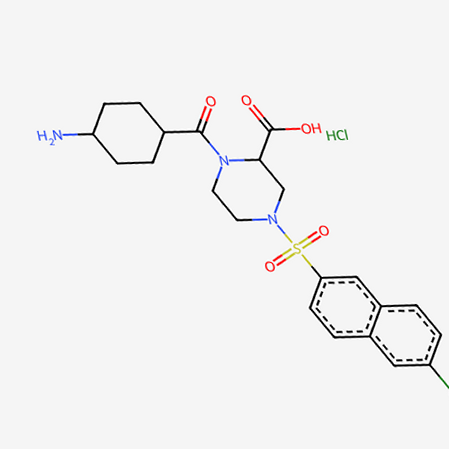 Cl.NC1CCC(C(=O)N2CCN(S(=O)(=O)c3ccc4cc(Cl)ccc4c3)CC2C(=O)O)CC1